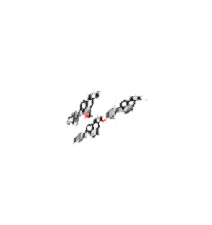 CC1COc2c(N3CCN(C)CC3)c(F)cc3c(=O)c(C(=O)O)cn1c23.COc1c(N2C[C@@H]3CCCN[C@@H]3C2)c(F)cc2c(=O)c(C(=O)O)cn(C3CC3)c12.C[C@H]1COc2c(N3CCN(C)CC3)c(F)cc3c(=O)c(C(=O)O)cn1c23